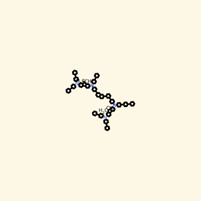 CC1(C)c2cc(N(c3ccc(-c4ccccc4)cc3)c3ccc(-c4ccccc4)cc3)ccc2-c2ccc(N(c3ccc(-c4ccc(-c5ccccc5)cc4)cc3)c3ccc(-c4cccc(-c5ccc6ccc(-c7ccc(N(c8ccc(-c9ccccc9)cc8)c8ccc9c(c8)C(C)(C)c8cc(N(c%10ccc(-c%11ccccc%11)cc%10)c%10ccc(-c%11ccccc%11)cc%10)ccc8-9)cc7)cc6c5)c4)cc3)cc21